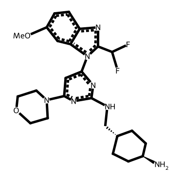 COc1ccc2nc(C(F)F)n(-c3cc(N4CCOCC4)nc(NC[C@H]4CC[C@H](N)CC4)n3)c2c1